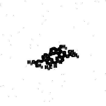 Cc1cc(N(C)CCN(C)C)c([N+](=O)[O-])cc1Nc1ncc(C(=O)OC(C)C)c(-c2cn(C)c3ccccc23)n1